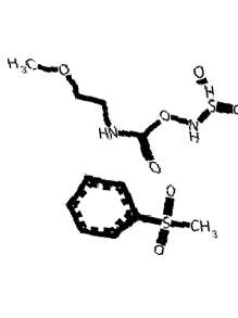 COCCNC(=O)ON[SH](=O)=O.CS(=O)(=O)c1ccccc1